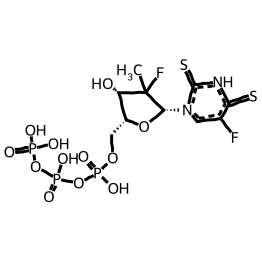 CC1(F)[C@@H](O)[C@@H](COP(=O)(O)OP(=O)(O)OP(=O)(O)O)O[C@H]1n1cc(F)c(=S)[nH]c1=S